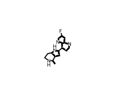 C=C1NCCc2[nH]c(-c3ccnc4cc(F)cnc34)cc21